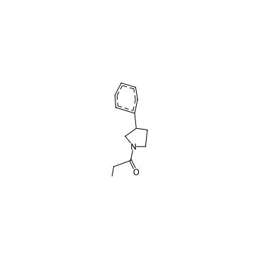 CCC(=O)N1CCC(c2ccccc2)C1